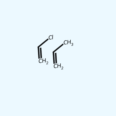 C=CC.C=CCl